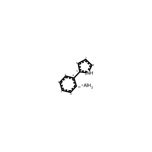 [AlH3].c1ccc(-c2ccc[nH]2)cc1